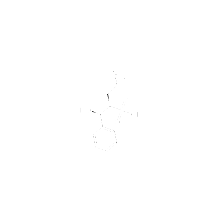 NCC[C@H]([C@H](O)c1ccccc1)S(=O)(=O)O